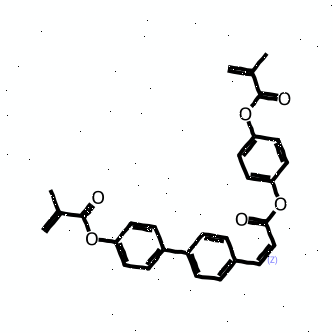 C=C(C)C(=O)Oc1ccc(OC(=O)/C=C\c2ccc(-c3ccc(OC(=O)C(=C)C)cc3)cc2)cc1